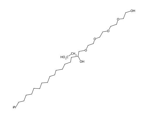 CC(=O)O.CC(C)CCCCCCCCCCCCCCCC(O)COCCOCCOCCOCCO